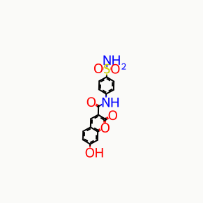 NS(=O)(=O)c1ccc(NC(=O)c2cc3ccc(O)cc3oc2=O)cc1